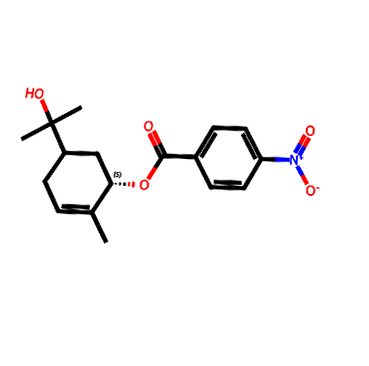 CC1=CCC(C(C)(C)O)C[C@@H]1OC(=O)c1ccc([N+](=O)[O-])cc1